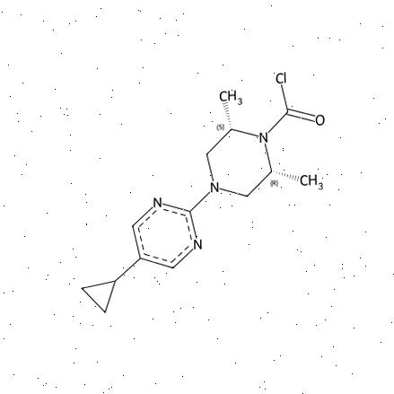 C[C@@H]1CN(c2ncc(C3CC3)cn2)C[C@H](C)N1C(=O)Cl